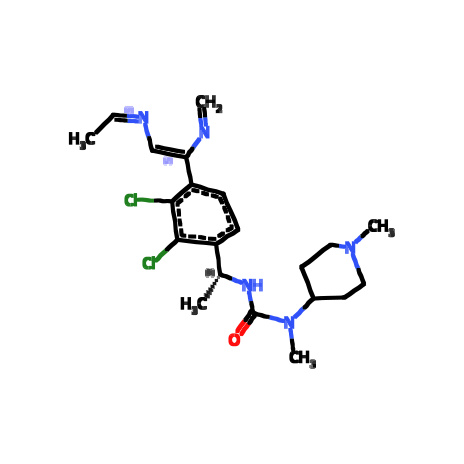 C=N/C(=C\N=C/C)c1ccc([C@@H](C)NC(=O)N(C)C2CCN(C)CC2)c(Cl)c1Cl